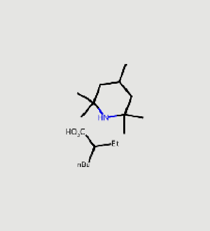 CC1CC(C)(C)NC(C)(C)C1.CCCCC(CC)C(=O)O